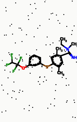 CCN(C)C(=N)c1cc(C)c(Sc2cccc(OC(F)(F)C(F)F)c2)cc1C